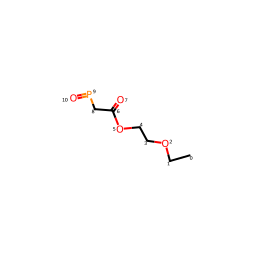 CCOCCOC(=O)CP=O